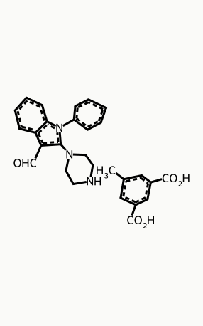 Cc1cc(C(=O)O)cc(C(=O)O)c1.O=Cc1c(N2CCNCC2)n(-c2ccccc2)c2ccccc12